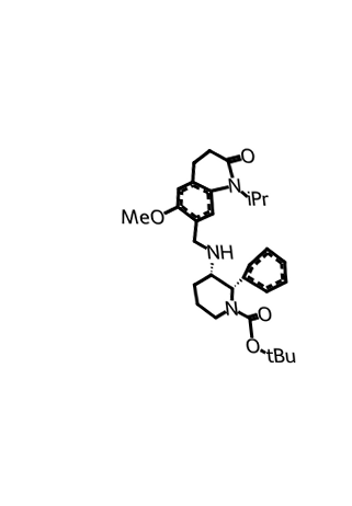 COc1cc2c(cc1CN[C@H]1CCCN(C(=O)OC(C)(C)C)[C@H]1c1ccccc1)N(C(C)C)C(=O)CC2